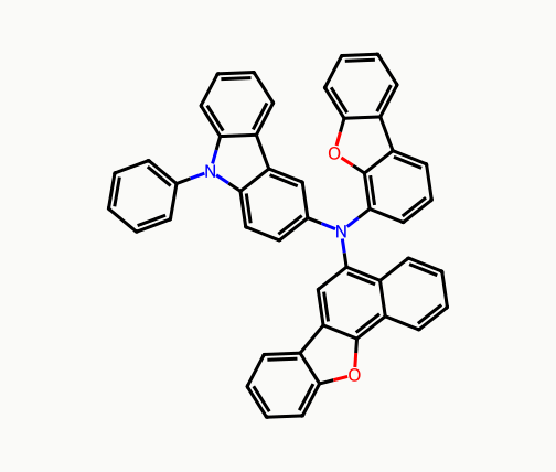 c1ccc(-n2c3ccccc3c3cc(N(c4cc5c6ccccc6oc5c5ccccc45)c4cccc5c4oc4ccccc45)ccc32)cc1